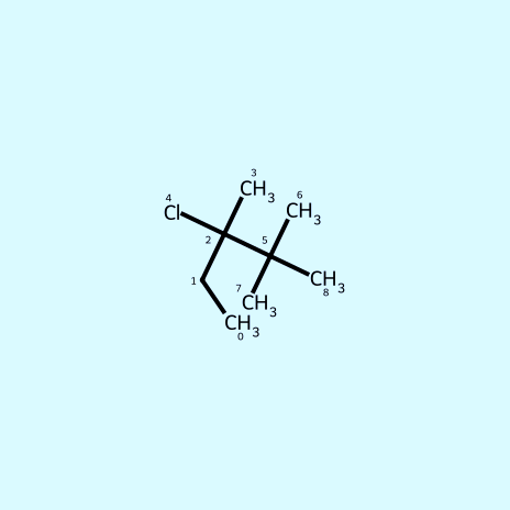 CCC(C)(Cl)C(C)(C)C